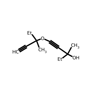 C#CC(C)(CC)OC#CC(C)(O)CC